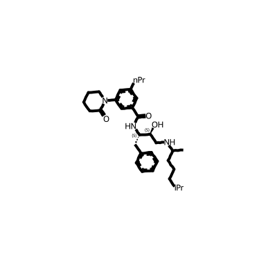 CCCc1cc(C(=O)N[C@@H](Cc2ccccc2)[C@@H](O)CNC(C)CCCC(C)C)cc(N2CCCCC2=O)c1